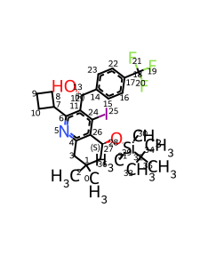 CC1(C)Cc2nc(C3CCC3)c([C@H](O)c3ccc(C(F)(F)F)cc3)c(I)c2[C@@H](O[Si](C)(C)C(C)(C)C)C1